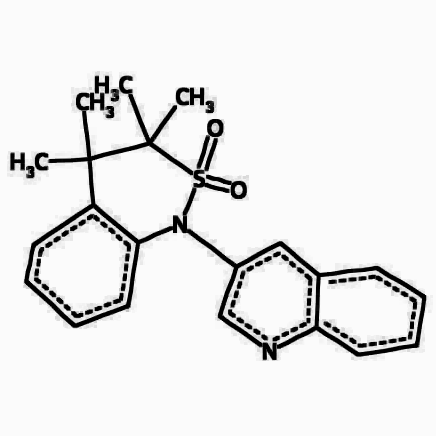 CC1(C)c2ccccc2N(c2cnc3ccccc3c2)S(=O)(=O)C1(C)C